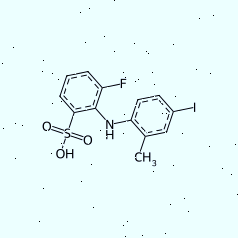 Cc1cc(I)ccc1Nc1c(F)cccc1S(=O)(=O)O